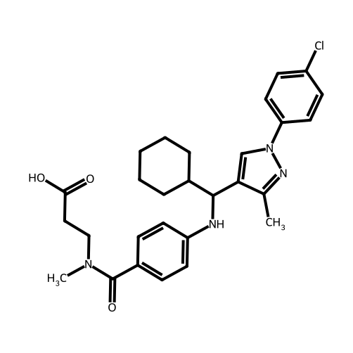 Cc1nn(-c2ccc(Cl)cc2)cc1C(Nc1ccc(C(=O)N(C)CCC(=O)O)cc1)C1CCCCC1